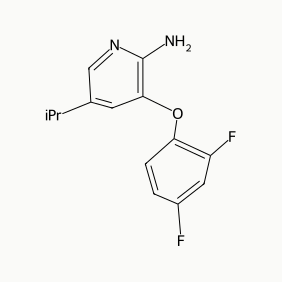 CC(C)c1cnc(N)c(Oc2ccc(F)cc2F)c1